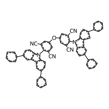 N#Cc1cc(Oc2cc(C#N)c(-n3c4ccc(-c5ccccc5)cc4c4cc(-c5ccccc5)ccc43)c(C#N)c2)cc(C#N)c1-n1c2ccc(-c3ccccc3)cc2c2cc(-c3ccccc3)ccc21